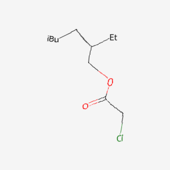 CCC(C)CC(CC)COC(=O)CCl